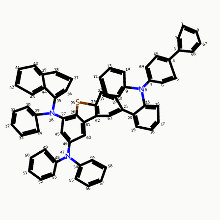 c1ccc(-c2ccc(N(c3ccccc3)c3ccccc3-c3ccc4sc5c(N(c6ccccc6)c6cccc7ccccc67)cc(N(c6ccccc6)c6ccccc6)cc5c4c3)cc2)cc1